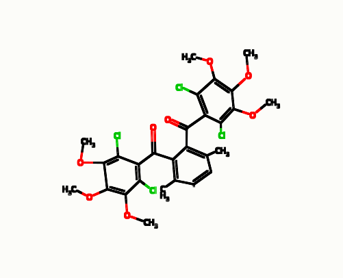 COc1c(Cl)c(C(=O)c2c(C)[c]cc(C)c2C(=O)c2c(Cl)c(OC)c(OC)c(OC)c2Cl)c(Cl)c(OC)c1OC